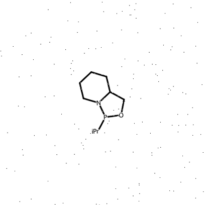 CC(C)P1OCC2CCCCN21